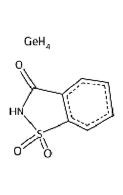 O=C1NS(=O)(=O)c2ccccc21.[GeH4]